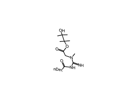 CCCCCCCCCCC(=O)NC(=N)N(C)CC(=O)OC(C)(C)C(C)(C)O